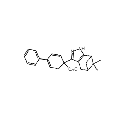 CC1(C)C2Cc3c(C4(C=O)C=CC(c5ccccc5)=CC4)n[nH]c3C1C2